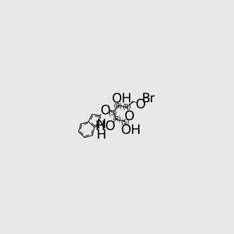 O[C@@H]1[C@@H](Oc2cc3ccccc3[nH]2)[C@H](O)[C@@H](COBr)O[C@@H]1O